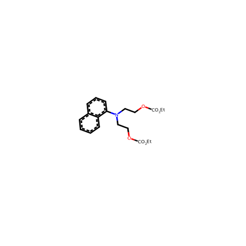 CCOC(=O)OCCN(CCOC(=O)OCC)c1cccc2ccccc12